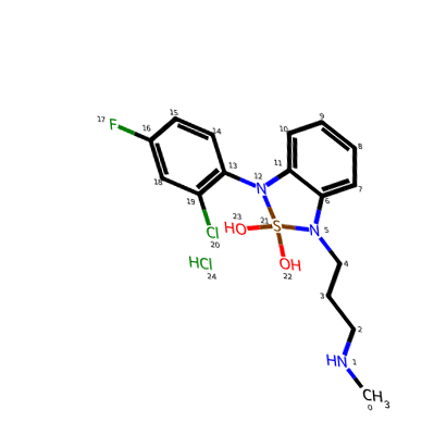 CNCCCN1c2ccccc2N(c2ccc(F)cc2Cl)S1(O)O.Cl